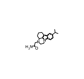 CC(C)c1ccc2c(c1)c1c3n2CCN(CC(N)=O)C3CCC1